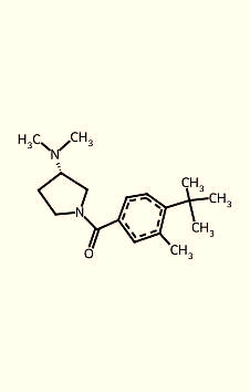 Cc1cc(C(=O)N2CC[C@H](N(C)C)C2)ccc1C(C)(C)C